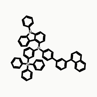 c1ccc(-n2c3ccccc3c3c(N(c4ccc(-c5cccc(-c6cccc7ccccc67)c5)cc4)c4cccc([Si](c5ccccc5)(c5ccccc5)c5ccccc5)c4)cccc32)cc1